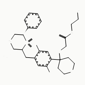 C[C@@H]1NC[C@@H](c2ccccc2)S(=O)(=O)C1Cc1cc(F)c(C2(OCC(=O)NCCO)CCOCC2)cc1F